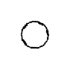 [CH]1C=CC=CCC=CCC=CC=CC1